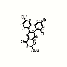 CC(C)(C)C1CC(=O)c2cc(-c3ccc(Cl)cc3)c(-c3ccc(Br)cc3Cl)nc2O1